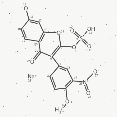 COc1ccc(-c2c(OS(=O)(=O)O)oc3cc([O-])ccc3c2=O)cc1[N+](=O)[O-].[Na+]